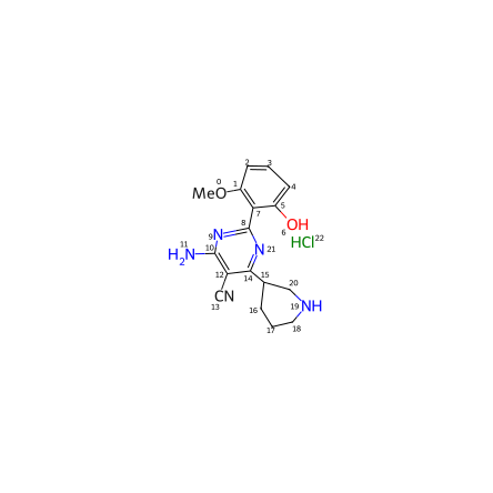 COc1cccc(O)c1-c1nc(N)c(C#N)c(C2CCCNC2)n1.Cl